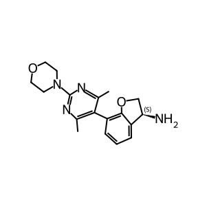 Cc1nc(N2CCOCC2)nc(C)c1-c1cccc2c1OC[C@H]2N